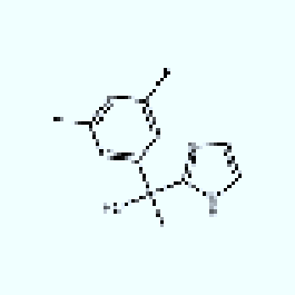 Cc1cc(F)cc(C(C)(O)c2ncc[nH]2)c1